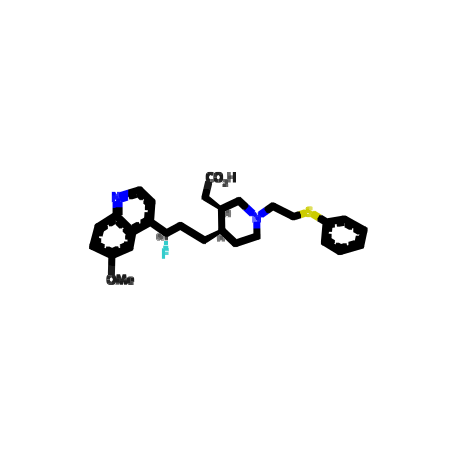 COc1ccc2nccc([C@@H](F)CC[C@@H]3CCN(CCSc4ccccc4)C[C@@H]3CC(=O)O)c2c1